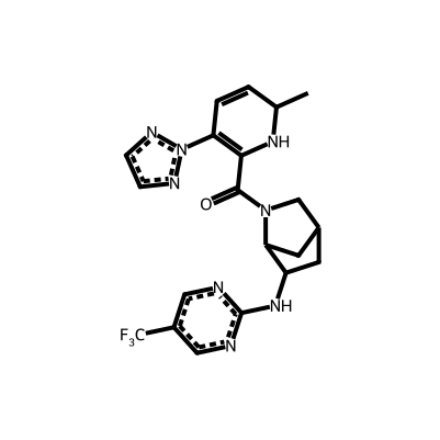 CC1C=CC(n2nccn2)=C(C(=O)N2CC3CC(Nc4ncc(C(F)(F)F)cn4)C2C3)N1